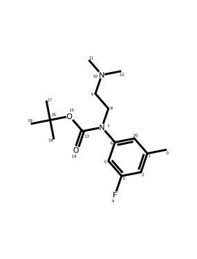 Cc1cc(F)cc(N(CCN(C)C)C(=O)OC(C)(C)C)c1